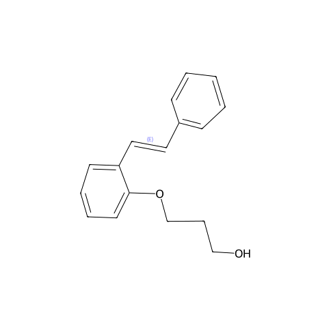 OCCCOc1ccccc1/C=C/c1ccccc1